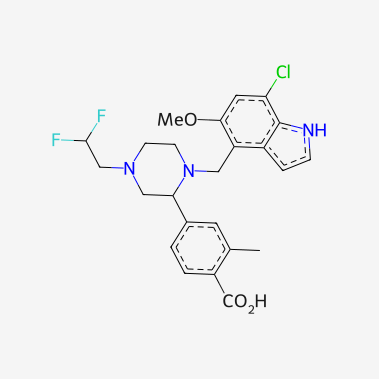 COc1cc(Cl)c2[nH]ccc2c1CN1CCN(CC(F)F)CC1c1ccc(C(=O)O)c(C)c1